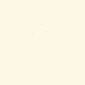 CC[Si](CC)(CCCCc1ccc(C)cc1)c1ccc(C[C@H](NC(=O)[C@H](CC(C)C)N(C)C(=O)[C@@H](NC(=O)OC(C)(C)C)C(C)C)C(=O)OC)cc1